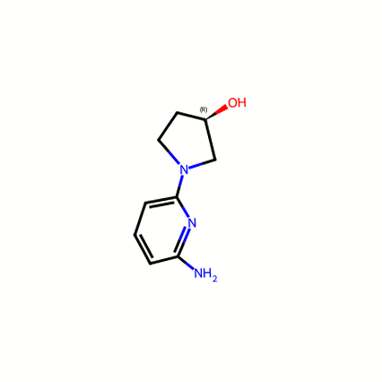 Nc1cccc(N2CC[C@@H](O)C2)n1